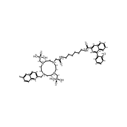 Cc1ccc2nc(CN3CCN(CP(=O)(O)O)CCN(CC(=O)NCCCCCCNC(=O)c4cc5ccccc5c(-c5ccccc5Cl)n4)CCN(CP(=O)(O)O)CC3)ccc2c1